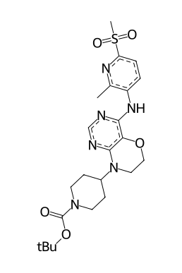 Cc1nc(S(C)(=O)=O)ccc1Nc1ncnc2c1OCCN2C1CCN(C(=O)OC(C)(C)C)CC1